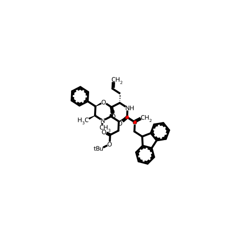 C=CC[C@@H](CC(=O)OC(C)(C)C)C(=O)N(C)[C@@H](C)[C@H](OC(=O)[C@H](CC=C)NC(=O)OCC1c2ccccc2-c2ccccc21)c1ccccc1